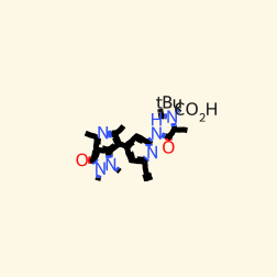 C#Cc1cc(-c2c(C)nc(C)c3c(=O)n(C)n(C)c23)cc(NC(=O)C(C)N(CC(C)(C)C)C(=O)O)n1